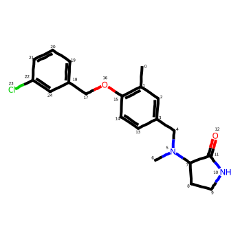 Cc1cc(CN(C)C2CCNC2=O)ccc1OCc1cccc(Cl)c1